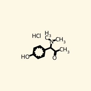 CC(=O)C(c1ccc(O)cc1)N(C)C.Cl